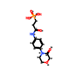 O=C(CCP(=O)(O)O)Nc1ccc(N2CCOCC2=O)cc1